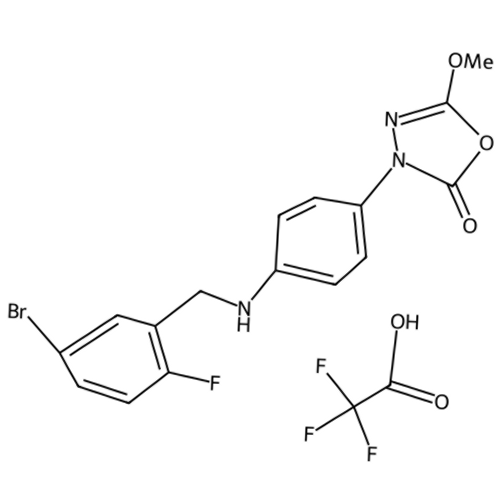 COc1nn(-c2ccc(NCc3cc(Br)ccc3F)cc2)c(=O)o1.O=C(O)C(F)(F)F